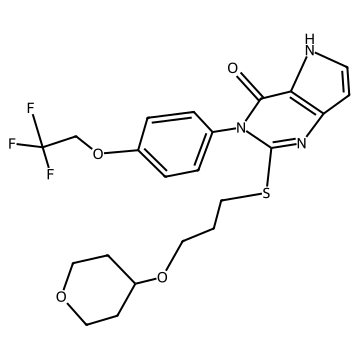 O=c1c2[nH]ccc2nc(SCCCOC2CCOCC2)n1-c1ccc(OCC(F)(F)F)cc1